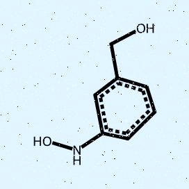 OCc1cccc(NO)c1